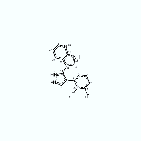 Fc1cccc(-c2cn[nH]c2-c2c[nH]c3ncccc23)c1F